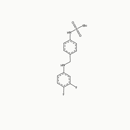 CC(C)(C)S(=O)(=O)Nc1ccc(CNc2ccc(F)c(F)c2)cc1